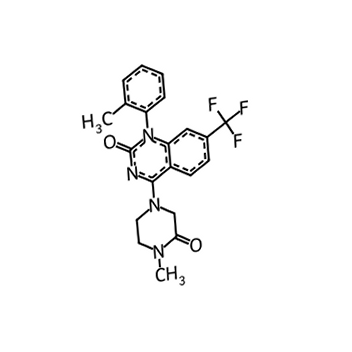 Cc1ccccc1-n1c(=O)nc(N2CCN(C)C(=O)C2)c2ccc(C(F)(F)F)cc21